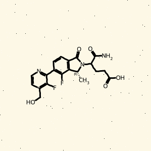 C[C@@H]1c2c(ccc(-c3nccc(CO)c3F)c2F)C(=O)N1C(CCC(=O)O)C(N)=O